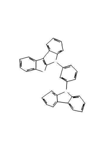 c1cc(-n2c3ccccc3c3ccccc32)cc(-n2c3ccccc3c3c4ccccc4oc32)c1